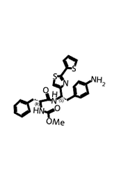 COC(=O)N[C@H](Cc1ccccc1)C(=O)N[C@@H](Cc1ccc(N)cc1)c1csc(-c2cccs2)n1